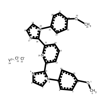 COc1ccc(-n2ccnc2-c2cccc(-c3nccn3-c3ccc(OC)cc3)n2)cc1.[Cl-].[Cl-].[V+2]